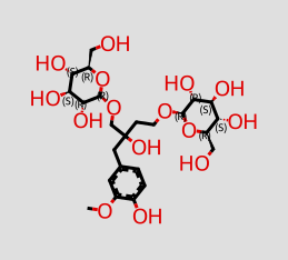 COc1cc(CC(O)(CCO[C@@H]2O[C@H](CO)[C@@H](O)[C@H](O)[C@H]2O)CO[C@@H]2O[C@H](CO)[C@@H](O)[C@H](O)[C@H]2O)ccc1O